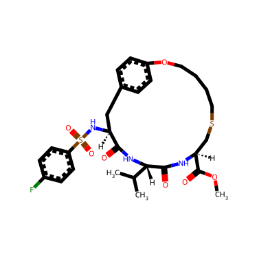 COC(=O)[C@@H]1CSCCCCOc2ccc(cc2)C[C@H](NS(=O)(=O)c2ccc(F)cc2)C(=O)N[C@@H](C(C)C)C(=O)N1